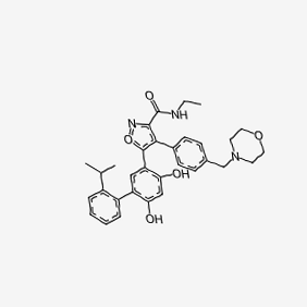 CCNC(=O)c1noc(-c2cc(-c3ccccc3C(C)C)c(O)cc2O)c1-c1ccc(CN2CCOCC2)cc1